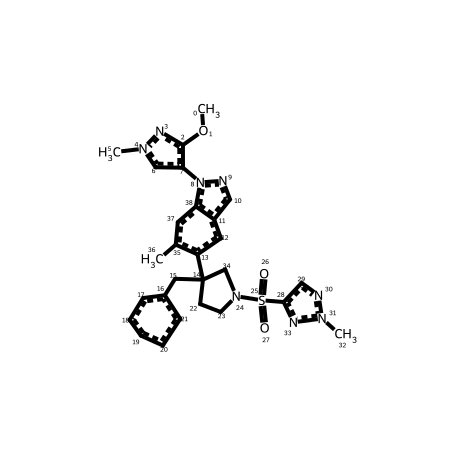 COc1nn(C)cc1-n1ncc2cc(C3(Cc4ccccc4)CCN(S(=O)(=O)c4cnn(C)n4)C3)c(C)cc21